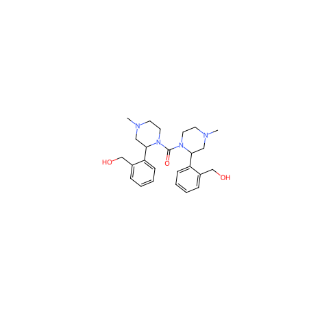 CN1CCN(C(=O)N2CCN(C)CC2c2ccccc2CO)C(c2ccccc2CO)C1